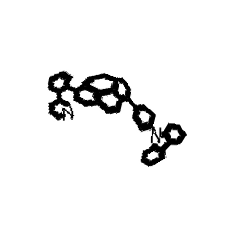 c1cncc(-c2ccccc2-c2ccc3ccc4c(-c5ccc(-n6c7ccccc7c7ccccc76)cc5)ccc5ccc2c3c54)c1